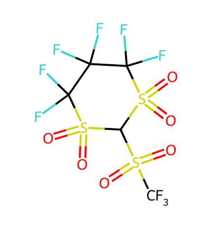 O=S(=O)(C1S(=O)(=O)C(F)(F)C(F)(F)C(F)(F)S1(=O)=O)C(F)(F)F